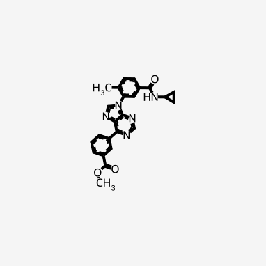 COC(=O)c1cccc(-c2ncnc3c2ncn3-c2cc(C(=O)NC3CC3)ccc2C)c1